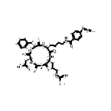 [N-]=[N+]=Nc1ccc(C(=O)NCCCC[C@@H]2NC(=O)[C@@H](Cc3ccccc3)NC(=O)[C@H](CC(=O)O)NC(=O)NC(=O)[C@H](CCCNC(=N)N)NC2=O)cc1